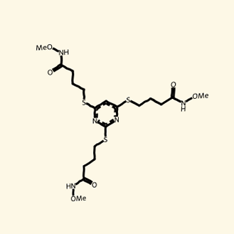 CONC(=O)CCCSc1cc(SCCCC(=O)NOC)nc(SCCCC(=O)NOC)n1